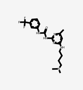 Cc1cc(NCCCCN(C)C)nc(NC(=O)Nc2cccc(C(F)(F)F)c2)n1